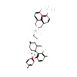 COc1ccc(CN(Cc2ccc(OC)cc2)S(=O)(=O)CC[C@@H]2C(=O)CCC3(S(=O)(=O)c4ccc(Cl)cc4)c4c(F)ccc(F)c4OCC23)cc1